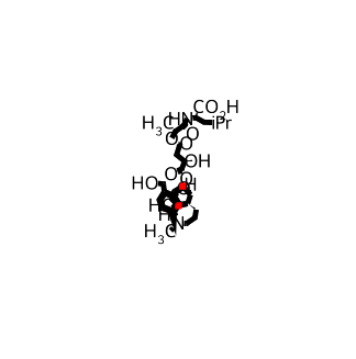 CC(C)C[C@H](NC(=O)[C@H](C)OC(=O)C[C@H](O)C(=O)OC1=CC[C@@]2(O)[C@H]3Cc4ccc(CO)c5c4[C@@]2(CCCN3C)[C@H]1O5)C(=O)O